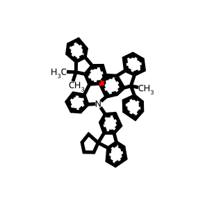 CC1(C)c2ccccc2-c2cccc(-c3ccccc3N(c3ccc4c(c3)C3(CCCC3)c3ccccc3-4)c3ccc4c(c3)C(C)(c3ccccc3)c3ccccc3-4)c21